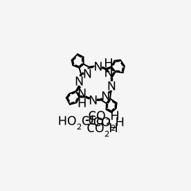 O=[C](O)[Co]([C](=O)O)([C](=O)O)[C](=O)O.c1ccc2c(c1)-c1nc-2nc2[nH]c(nc3nc(nc4[nH]c(n1)c1ccccc41)-c1ccccc1-3)c1ccccc21